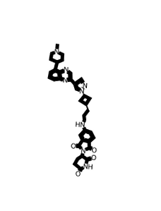 CN1CCC(c2cccc3nc(-c4cnn([C@H]5C[C@H](CCCNc6ccc7c(c6)C(=O)N(C6CCC(=O)NC6=O)C7=O)C5)c4)cnc23)CC1